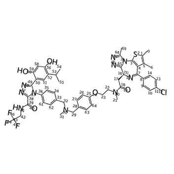 Cc1sc2c(c1C)C(c1ccc(Cl)cc1)=N[C@@H](CC(=O)N(C)CCOc1ccc(CN(C)Cc3ccc(-n4c(C(=O)NCC(F)(F)F)nnc4-c4cc(C(C)C)c(O)cc4O)cc3)cc1)c1nnc(C)n1-2